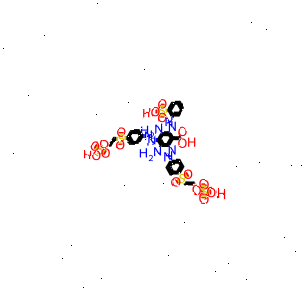 Nc1c(/N=N/c2ccc(S(=O)(=O)CCOS(=O)(=O)O)cc2)c(N)c(/N=N/c2ccccc2S(=O)(=O)O)c(C(=O)O)c1/N=N/c1ccc(S(=O)(=O)CCOS(=O)(=O)O)cc1